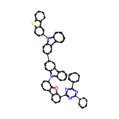 c1ccc(-c2nc(-c3ccccc3)nc(-c3cccc4c3oc3c(-n5c6ccccc6c6cc(-c7ccc8c(c7)c7ccccc7n8-c7ccc8sc9ccccc9c8c7)ccc65)cccc34)n2)cc1